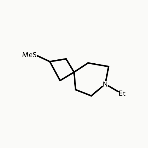 CCN1CCC2(CC1)CC(SC)C2